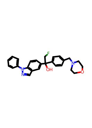 OC(CF)(c1ccc(CN2CCOCC2)cc1)c1ccc2c(cnn2-c2ccccc2)c1